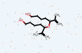 C=C(C)C(CCCCO)OC(CCCCO)C(=C)C